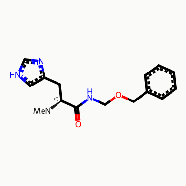 CN[C@@H](Cc1c[nH]cn1)C(=O)NCOCc1ccccc1